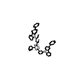 C=C/C(=C\C(=C/C)c1nc(-c2ccccc2)nc(-c2cccc(-n3c4ccccc4c4cc(-c5ccccc5)ccc43)c2)n1)n1c2ccccc2c2cc(-c3ccccc3)ccc21